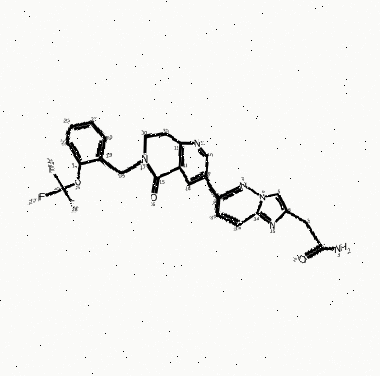 NC(=O)Cc1cn2nc(-c3cnc4c(c3)C(=O)N(Cc3ccccc3OC(F)(F)F)CC4)ccc2n1